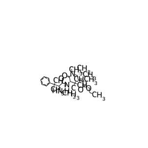 CCOC(=O)/C(C)=C/[C@@H](C(C)C)N(C)C(=O)[C@@H](NC(=O)C(NC)C(C)(C)c1ccccc1)C(C)(C)C